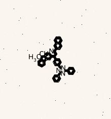 CC1(C)c2ccccc2-c2cc3c(-c4ccc(-c5nc(-c6ccccc6)nc(-c6ccccc6)n5)cc4)cc(-c4ccc5ccccc5c4)nc3cc21